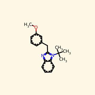 COc1cccc(Cc2nc3ccccc3n2C(C)(C)C)c1